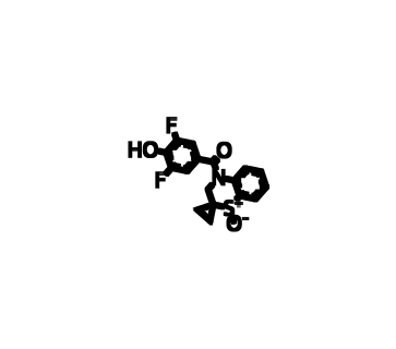 O=C(c1cc(F)c(O)c(F)c1)N1CC2(CC2)[S+]([O-])c2ccccc21